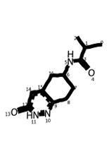 CC(C)C(=O)NC1CCc2n[nH]c(=O)cc2C1